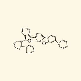 c1ccc(-c2ccc3c(c2)oc2cc(-c4oc(-c5ccccc5-c5ccccc5)c5ccccc45)ccc23)cc1